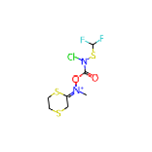 C[N+](OC(=O)N(Cl)SC(F)F)=C1CSCCS1